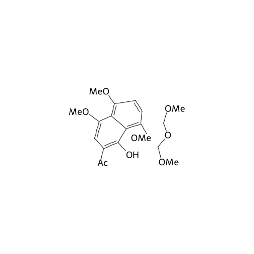 COCOCOC.COc1ccc(OC)c2c(O)c(C(C)=O)cc(OC)c12